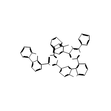 c1ccc(-c2nc(-c3ccc4oc5cccc(-c6nc(-c7ccccc7)c7oc8ccccc8c7n6)c5c4c3)nc(-c3cccc4c3oc3ccccc34)n2)cc1